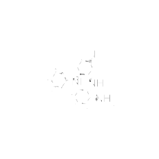 Nc1ccccc1Nc1cc(I)ccc1Nc1ccccc1